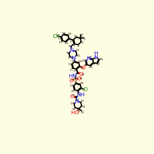 CC1(C)CCC(CN2CCN(c3ccc(C(=O)NS(=O)(=O)c4ccc(NC(=O)N5CCC(C)(O)CC5)c(Cl)c4)c(Oc4cnc5[nH]ccc5c4)c3)CC2)=C(c2ccc(Cl)cc2)C1